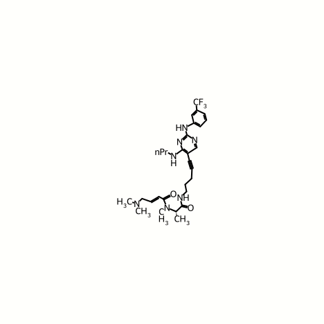 CCCNc1nc(Nc2cccc(C(F)(F)F)c2)ncc1C#CCCCNC(=O)[C@H](C)N(C)C(=O)/C=C/CN(C)C